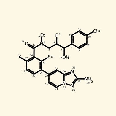 CCN(CC(F)C(O)c1ccc(Cl)cc1)C(=O)c1c(C)ccc(-c2ccn3nc(N)nc3c2)c1F